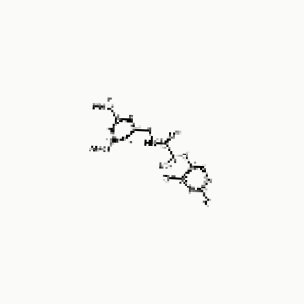 CCC(Oc1ccc(Cl)cc1Cl)C(=O)NCc1cc(OC)cc(OC)c1